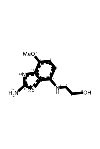 COc1ccc(NCCO)c2sc(N)nc12